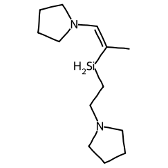 CC(=CN1CCCC1)[SiH2]CCN1CCCC1